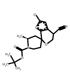 C[C@H]1CC2(CCN1C(=O)OC(C)(C)C)OCC(C#N)c1cc(Cl)sc12